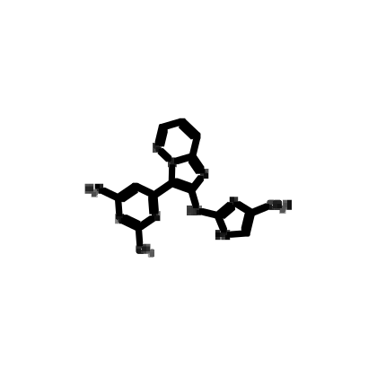 Cc1nc(N)cc(-c2c(Nc3nc(C(=O)O)c[nH]3)nc3cccnn23)n1